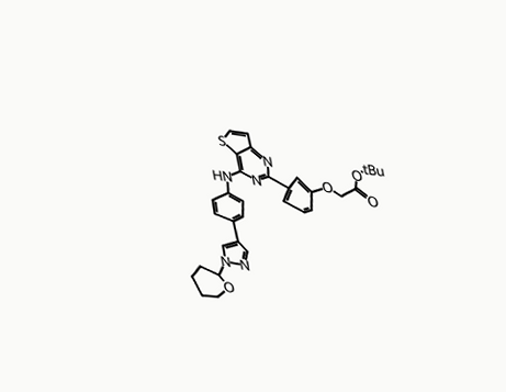 CC(C)(C)OC(=O)COc1cccc(-c2nc(Nc3ccc(-c4cnn(C5CCCCO5)c4)cc3)c3sccc3n2)c1